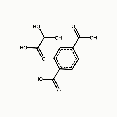 O=C(O)C(O)O.O=C(O)c1ccc(C(=O)O)cc1